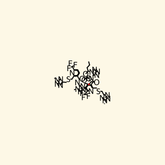 CCCC(OC(=O)OC(CCC)n1nnn(C)c1=NC(=O)c1ccc(C(F)(F)F)nc1CSCc1nnn(C)n1)n1nnn(C)c1=NC(=O)c1ccc(C(F)(F)F)nc1CSCc1nnn(C)n1